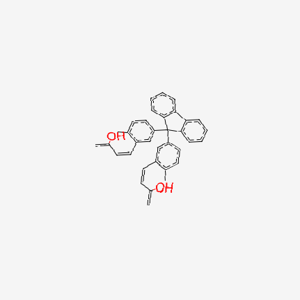 C=C(O)/C=C\c1cc(C2(c3ccc(C)c(/C=C\C(=C)O)c3)c3ccccc3-c3ccccc32)ccc1C